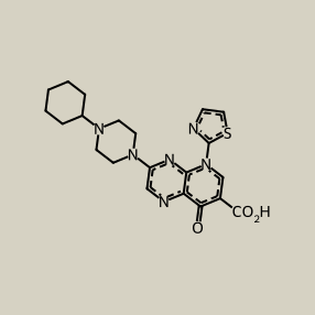 O=C(O)c1cn(-c2nccs2)c2nc(N3CCN(C4CCCCC4)CC3)cnc2c1=O